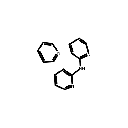 [c]1cccnc1.[c]1cccnc1Nc1ccccn1